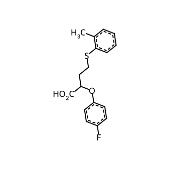 Cc1ccccc1SCCC(Oc1ccc(F)cc1)C(=O)O